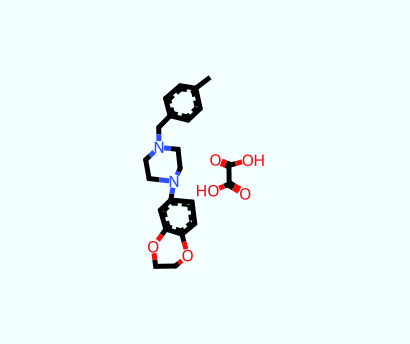 Cc1ccc(CN2CCN(c3ccc4c(c3)OCCO4)CC2)cc1.O=C(O)C(=O)O